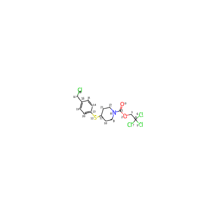 O=C(OCC(Cl)(Cl)Cl)N1CCC(Sc2ccc(CCl)cc2)CC1